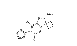 CNC1=Nc2c(cc(Cl)c(-n3cccn3)c2Cl)C12CCC2